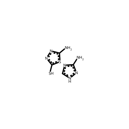 Nc1nc[nH]n1.Nc1nnc(S)s1